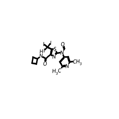 Cc1cc(N(C=O)c2nc(C(=O)NC3CCC3)c(C(I)(I)I)s2)cc(C)n1